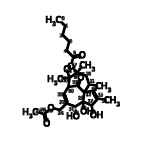 CCCCCC(=O)O[C@]1(C)CC(C)C23C=C(C)C(O)C2(O)[C@H](O)C(COC(C)=O)=CC(C3=O)C1(C)C